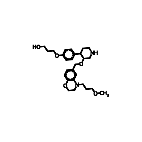 COCCCN1CCOc2ccc(COC3CNCCC3c3ccc(OCCCO)cc3)cc21